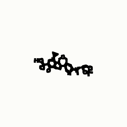 CN(C[C@@H]1COC(C)(C)O1)c1cc2c(cn1)-c1ccc3c(=O)c(C(=O)O)cn(C4CC4)c3c1COC2